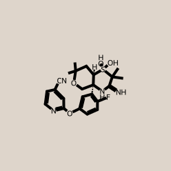 CC1(C)C[C@@H]2[C@](c3cc(Oc4cc(C#N)ccn4)ccc3F)(CO1)NC(=N)C(C)(C)S2(O)O